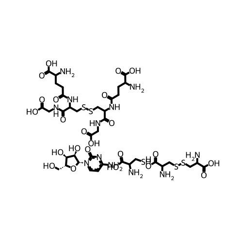 NC(CCC(=O)NC(CSSCC(NC(=O)CCC(N)C(=O)O)C(=O)NCC(=O)O)C(=O)NCC(=O)O)C(=O)O.NC(CS)C(=O)O.NC(CSSCC(N)C(=O)O)C(=O)O.Nc1ccn([C@@H]2O[C@H](CO)[C@@H](O)[C@H]2O)c(=O)n1